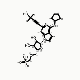 CC(C)(O)C#Cc1nc(NC2CCCC2)c2ccn([C@@H]3O[C@H](COCP(=O)(O)O)[C@@H](O)[C@H]3O)c2n1